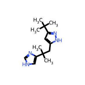 CC(C)(C)c1cc(CC(C)(C)c2c[nH]cn2)[nH]n1